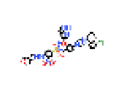 O=C(NS(=O)(=O)c1ccc(NCC2CC3(CCOCC3)C2)c([N+](=O)[O-])c1)c1ccc(N2CCN([C@@H]3CCCCc4c(Cl)cccc43)CC2)cc1Oc1cnc2[nH]ccc2c1